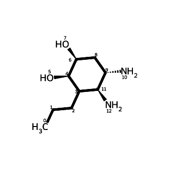 CCCC1[C@@H](O)[C@@H](O)C[C@H](N)[C@H]1N